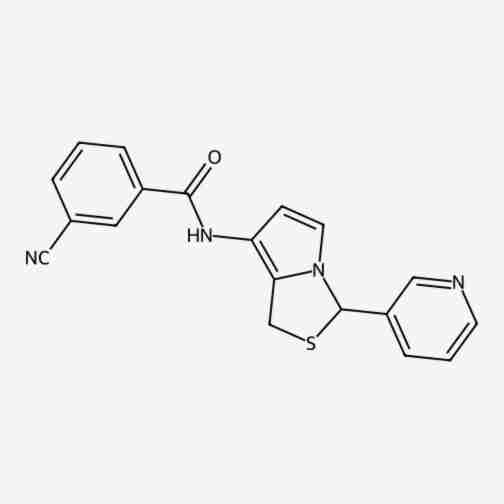 N#Cc1cccc(C(=O)Nc2ccn3c2CSC3c2cccnc2)c1